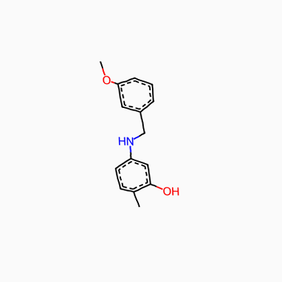 COc1cccc(CNc2ccc(C)c(O)c2)c1